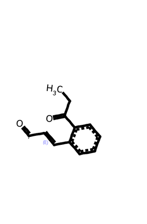 CCC(=O)c1ccccc1/C=C/[C]=O